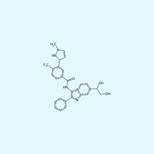 CN1C=CC(c2cc(C(=O)Nc3c(-c4ccccc4)nc4cc(C(O)CO)ccn34)ccc2C(F)(F)F)N1